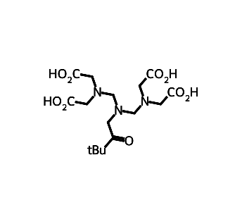 CC(C)(C)C(=O)CN(CN(CC(=O)O)CC(=O)O)CN(CC(=O)O)CC(=O)O